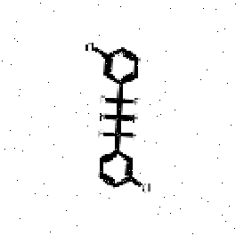 FC(F)(c1cccc(Cl)c1)C(F)(F)C(F)(F)c1cccc(Cl)c1